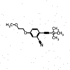 COCCOc1ccc(C#C[Si](C)(C)C)c(C#N)c1